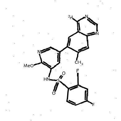 [2H]c1ncnc2cc(C)c(-c3cnc(OC)c(NS(=O)(=O)c4ccc(F)cc4F)c3)cc12